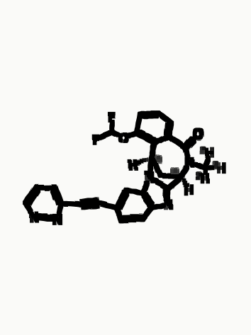 [2H]C([2H])([2H])N1C(=O)c2cccc(OC(F)F)c2[C@H]2C[C@@H]1c1nc3ccc(C#Cc4cccnn4)cc3n12